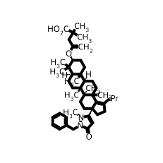 C=C(CC(C)(C)C(=O)O)O[C@H]1CCC2(C)[C@H]3CCC4(C)C5=C(C(C)C)CC[C@]5(c5cc(=O)n(Cc6ccccc6)n5C)CC[C@@]4(C)[C@]3(C)CC[C@H]2C1(C)C